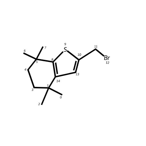 CC1(C)CCC(C)(C)c2sc(CBr)cc21